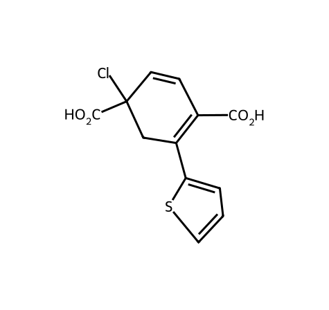 O=C(O)C1=C(c2cccs2)CC(Cl)(C(=O)O)C=C1